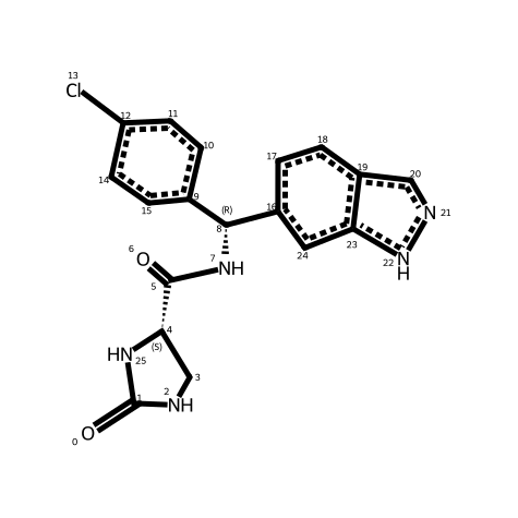 O=C1NC[C@@H](C(=O)N[C@H](c2ccc(Cl)cc2)c2ccc3cn[nH]c3c2)N1